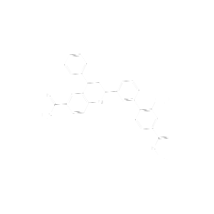 CC(C)(C)NC(=O)c1ccc(-c2cccc(C3CC(c4ccccc4)c4cc(C(=N)N)ccc4N3)c2)c(C(=O)O)c1